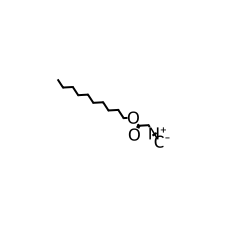 [C-]#[N+]CC(=O)OCCCCCCCCCC